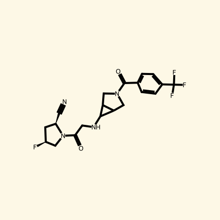 N#C[C@@H]1C[C@H](F)CN1C(=O)CNC1C2CN(C(=O)c3ccc(C(F)(F)F)cc3)CC21